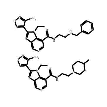 CCn1c(-c2nonc2N)nc2cncc(C(=O)NCCN3CCC(C)CC3)c21.CCn1c(-c2nonc2N)nc2cncc(C(=O)NCCNCc3ccccc3)c21